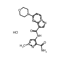 Cl.Cn1cc(NC(=O)c2cnn3ccc(N4CCOCC4)nc23)c(C(N)=O)n1